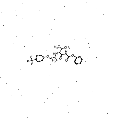 CC(COc1ccc(C(F)(F)F)cc1)N[C@H](C(=O)NC(=O)Oc1ccccc1)C(C)C